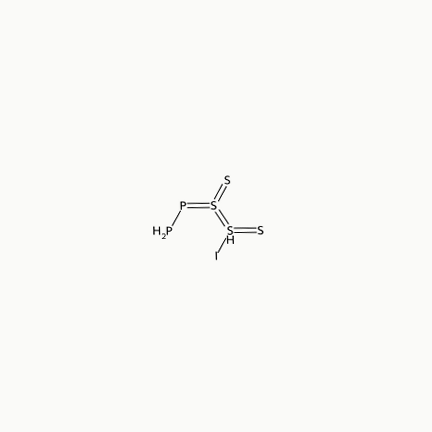 PP=S(=S)=[SH](=S)I